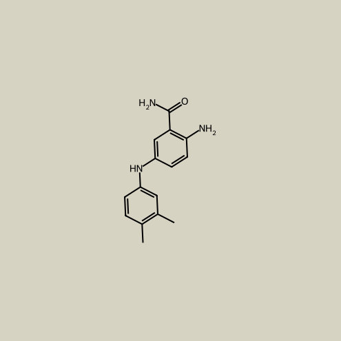 Cc1ccc(Nc2ccc(N)c(C(N)=O)c2)cc1C